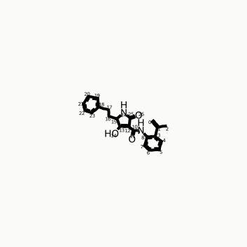 C=C(C)c1ccccc1NC(=O)C1=C(O)C(CCc2ccccc2)NC1=O